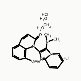 COc1cccc2ccc(=O)n(-c3nc4ccccn4c3N(C)C)c12.Cl.Cl.O.O.O